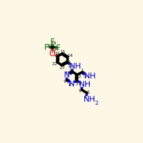 N=Cc1c(NCCN)ncnc1Nc1ccc(OC(F)(F)F)cc1